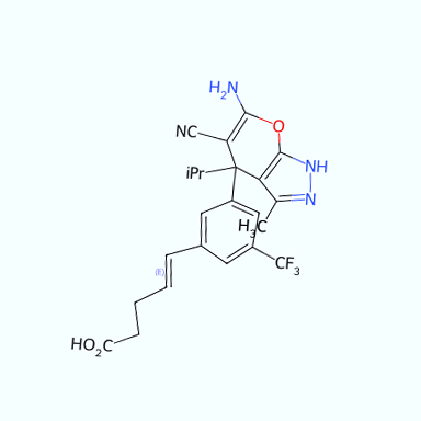 Cc1n[nH]c2c1C(c1cc(/C=C/CCC(=O)O)cc(C(F)(F)F)c1)(C(C)C)C(C#N)=C(N)O2